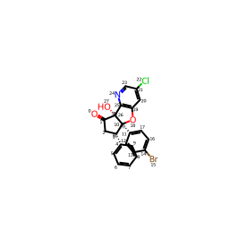 O=C1C[C@@H](c2ccccc2)[C@]2(c3ccc(Br)cc3)Oc3cc(Cl)cnc3[C@]12O